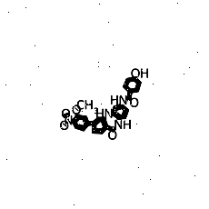 COc1cc(-c2ccc3c(c2)Nc2cc(NC(=O)C4CCC(O)CC4)ccc2NC3=O)ccc1[N+](=O)[O-]